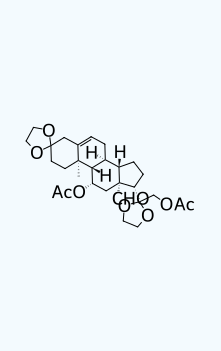 CC(=O)OCC1([C@H]2CC[C@H]3[C@@H]4CC=C5CC6(CC[C@]5(C)[C@H]4[C@@H](OC(C)=O)C[C@]23C=O)OCCO6)OCCO1